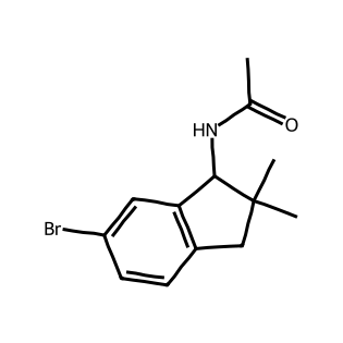 CC(=O)NC1c2cc(Br)ccc2CC1(C)C